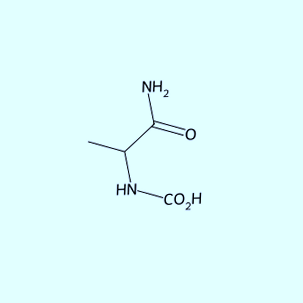 CC(NC(=O)O)C(N)=O